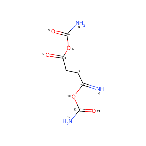 N=C(CCC(=O)OC(N)=O)OC(N)=O